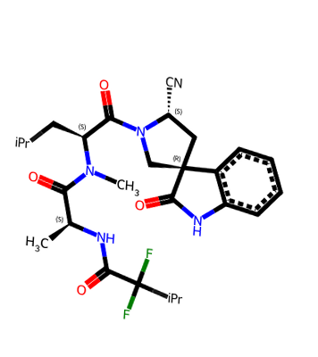 CC(C)C[C@@H](C(=O)N1C[C@]2(C[C@H]1C#N)C(=O)Nc1ccccc12)N(C)C(=O)[C@H](C)NC(=O)C(F)(F)C(C)C